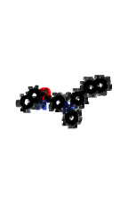 C1=Cc2ccc3oc(-c4ccc(N(c5ccccc5)c5ccc(-c6ccc7ccccc7c6)cc5)cc4)nc3c2CC1